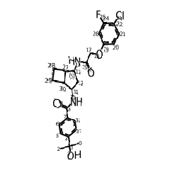 CC(C)(O)c1ccc(C(=O)NC2C[C@H](NC(=O)COc3ccc(Cl)c(F)c3)C3CCC23)cc1